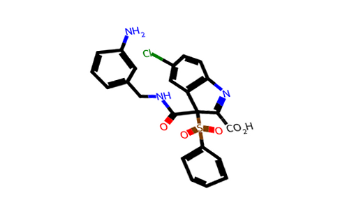 Nc1cccc(CNC(=O)C2(S(=O)(=O)c3ccccc3)C(C(=O)O)=Nc3ccc(Cl)cc32)c1